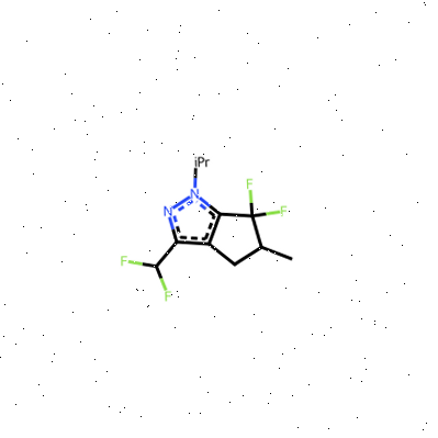 CC(C)n1nc(C(F)F)c2c1C(F)(F)C(C)C2